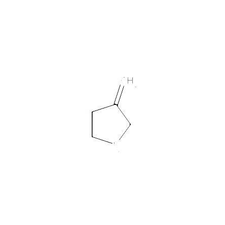 C=C1CCSC1